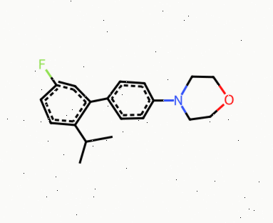 CC(C)c1ccc(F)cc1-c1ccc(N2CCOCC2)cc1